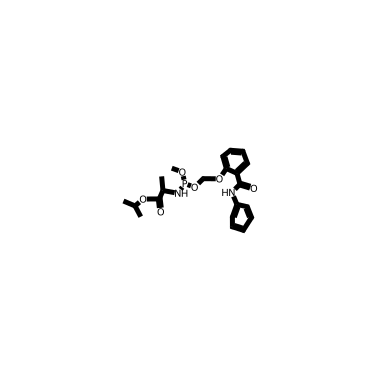 COP(NC(C)C(=O)OC(C)C)OCOc1ccccc1C(=O)Nc1ccccc1